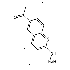 CC(=O)c1ccc2nc([NH][RaH])ccc2c1